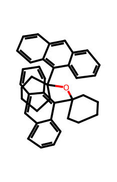 c1ccc2c(C3(OC4(c5c6ccccc6cc6ccccc56)CCCCC4)CCCCC3)c3ccccc3cc2c1